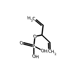 C=CC(C=C)OP(=O)(O)O